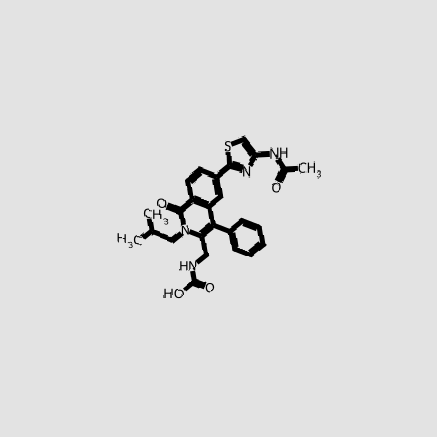 CC(=O)Nc1csc(-c2ccc3c(=O)n(CC(C)C)c(CNC(=O)O)c(-c4ccccc4)c3c2)n1